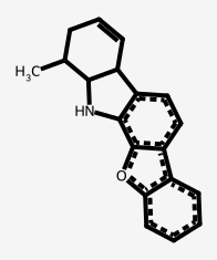 CC1CC=CC2c3ccc4c(oc5ccccc54)c3NC12